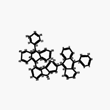 c1ccc(-c2c3ccccc3c(-c3ccc4c(c3)sc3cccc(-c5c6ccccc6c(-c6cccnc6)c6ccccc56)c34)c3ccccc23)cc1